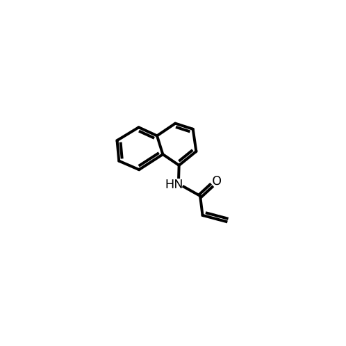 C=CC(=O)Nc1cccc2ccccc12